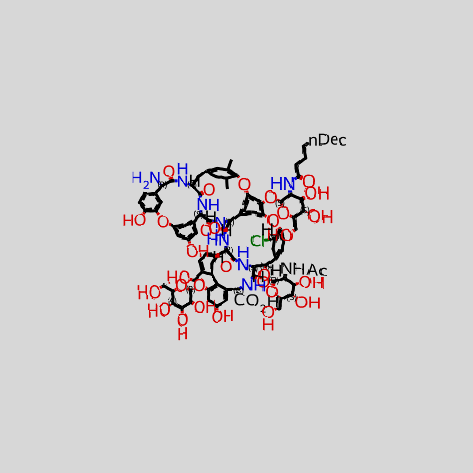 CCCCCCCCCCCCCC(=O)NC1C(O)[C@H](O)C(CO)O[C@H]1Oc1c2cc3cc1OC1=C(C)C=C(CC1C)C[C@H]1NC(=O)[C@H](N)c4ccc(O)c(c4)Oc4cc(O)cc(c4)[C@H](NC1=O)C(=O)N[C@H]3C(=O)N[C@H]1C(=O)N[C@H](C(=O)N[C@H](C(=O)O)C3=CC(O)CC(O[C@H]4OC(CO)[C@@H](O)C(O)C4O)=C3C3CC1=CC=C3CO)[C@H](O[C@@H]1OC(CO)[C@@H](O)C(O)C1NC(C)=O)C1=CC=C(O2)[C@@H](Cl)C1